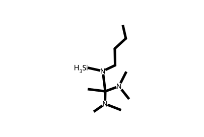 CCCCN([SiH3])C(C)(N(C)C)N(C)C